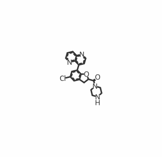 O=C(C1Cc2cc(Cl)cc(-c3ccnc4cccnc34)c2O1)N1CCNCC1